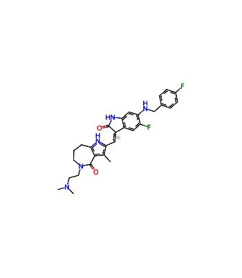 Cc1c(/C=C2\C(=O)Nc3cc(NCc4ccc(F)cc4)c(F)cc32)[nH]c2c1C(=O)N(CCN(C)C)CCC2